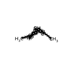 CCCCCCCCC(=O)Oc1ccc2c(-c3ccc4cc(C(=O)OC(CCCCCC)C(F)(F)F)ccc4c3)c(C(=O)O)ccc2c1